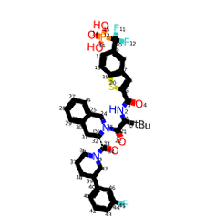 CC(C)(C)C(NC(=O)c1cc2cc(C(F)(F)P(=O)(O)O)ccc2s1)C(=O)N1Cc2ccccc2C[C@H]1C(=O)N1CCCC(c2cccc(F)c2)C1